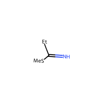 CCC(=N)SC